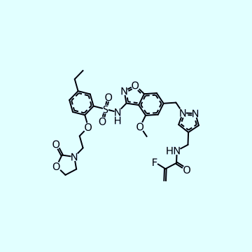 C=C(F)C(=O)NCc1cnn(Cc2cc(OC)c3c(NS(=O)(=O)c4cc(CC)ccc4OCCN4CCOC4=O)noc3c2)c1